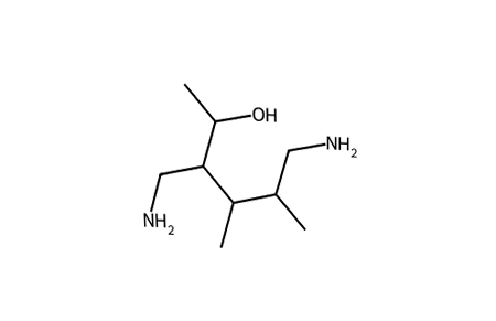 CC(O)C(CN)C(C)C(C)CN